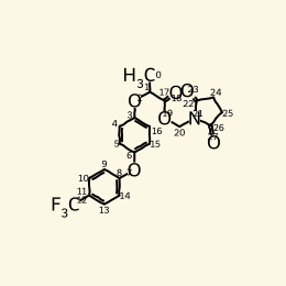 CC(Oc1ccc(Oc2ccc(C(F)(F)F)cc2)cc1)C(=O)OCN1C(=O)CCC1=O